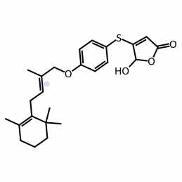 CC1=C(C/C=C(\C)COc2ccc(SC3=CC(=O)OC3O)cc2)C(C)(C)CCC1